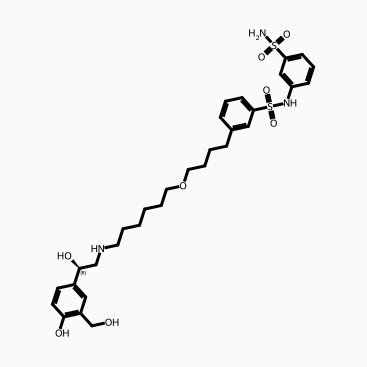 NS(=O)(=O)c1cccc(NS(=O)(=O)c2cccc(CCCCOCCCCCCNC[C@H](O)c3ccc(O)c(CO)c3)c2)c1